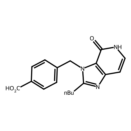 CCCCc1nc2cc[nH]c(=O)c2n1Cc1ccc(C(=O)O)cc1